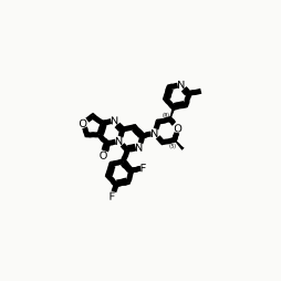 Cc1cc([C@@H]2CN(c3cc4nc5c(c(=O)n4c(-c4ccc(F)cc4F)n3)COC5)C[C@H](C)O2)ccn1